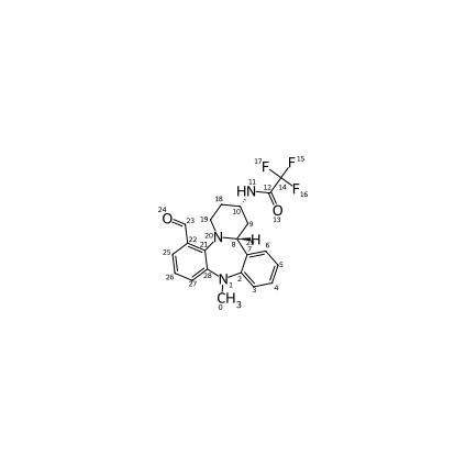 CN1c2ccccc2[C@H]2C[C@@H](NC(=O)C(F)(F)F)CCN2c2c(C=O)cccc21